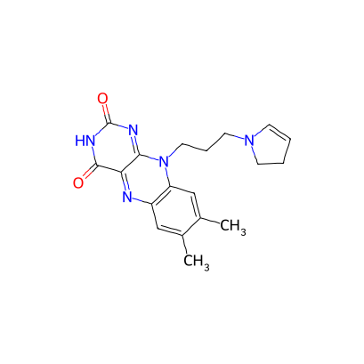 Cc1cc2nc3c(=O)[nH]c(=O)nc-3n(CCCN3C=CCC3)c2cc1C